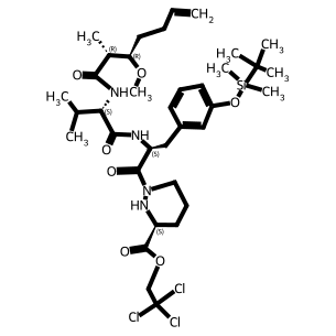 C=CCC[C@@H](OC)[C@@H](C)C(=O)N[C@H](C(=O)N[C@@H](Cc1cccc(O[Si](C)(C)C(C)(C)C)c1)C(=O)N1CCC[C@@H](C(=O)OCC(Cl)(Cl)Cl)N1)C(C)C